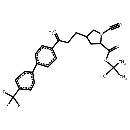 C=C(CCC1CB(C#N)C(C(=O)OC(C)(C)C)C1)c1ccc(-c2ccc(C(F)(F)F)cc2)cc1